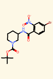 CC(C)(C)OC(=O)N1CCCC(NC(=O)c2ccc(Br)cc2[N+](=O)[O-])C1